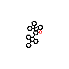 c1ccc(-c2c3ccccc3c(-c3cc4c5c(c3)oc3cccc(c35)C4(c3ccccc3)c3ccccc3)c3ccccc23)cc1